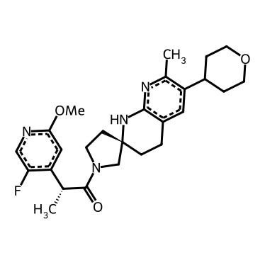 COc1cc([C@@H](C)C(=O)N2CC[C@@]3(CCc4cc(C5CCOCC5)c(C)nc4N3)C2)c(F)cn1